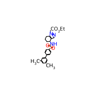 CCOC(=O)Cn1ncc2c1CCCC2NS(=O)(=O)c1ccc(-c2cc(C)cc(C)c2)cc1